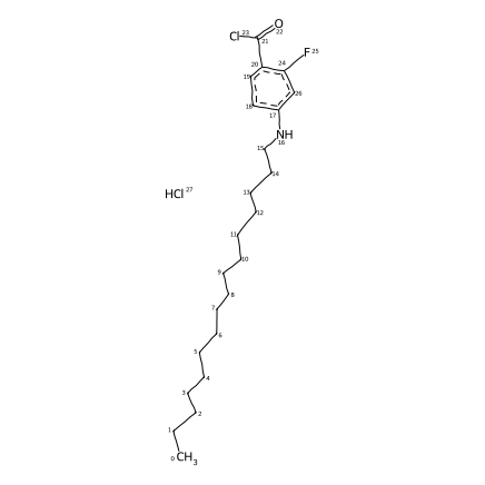 CCCCCCCCCCCCCCCCNc1ccc(C(=O)Cl)c(F)c1.Cl